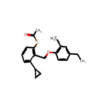 CCc1ccc(OCc2c(SC(C)=O)cccc2C2CC2)c(C)c1